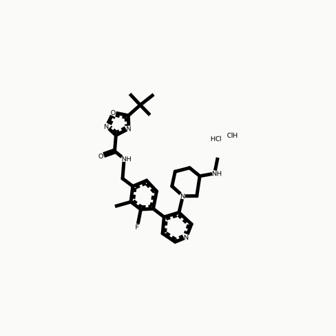 CNC1CCCN(c2cnccc2-c2ccc(CNC(=O)c3noc(C(C)(C)C)n3)c(C)c2F)C1.Cl.Cl